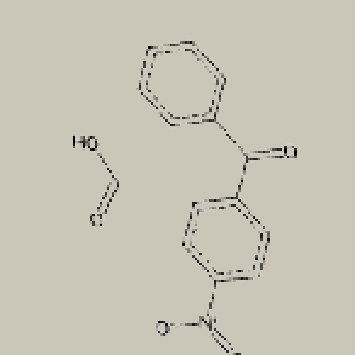 O=C(c1ccccc1)c1ccc([N+](=O)[O-])cc1.O=CO